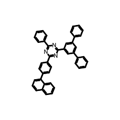 c1ccc(-c2cc(-c3ccccc3)cc(-c3nc(-c4ccccc4)nc(-c4ccc(-c5cccc6ccccc56)cc4)n3)c2)cc1